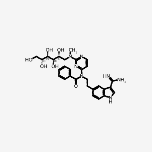 CN(C[C@H](O)[C@@H](O)[C@H](O)[C@H](O)CO)c1nccc(N(CCc2ccc3[nH]cc(C(=N)N)c3c2)C(=O)c2ccccc2)n1